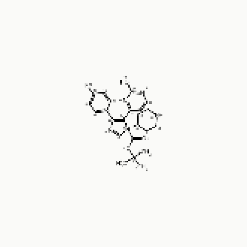 CC(C)(C)OC(=O)[N+]1(C2CCNCC2)C=NC(c2ccc(F)cc2)=C1c1ccnc(O)n1